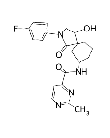 Cc1nccc(C(=O)NC2CCCC3(C2)C(=O)N(c2ccc(F)cc2)CC3O)n1